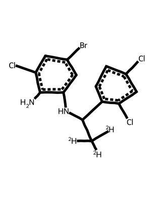 [2H]C([2H])([2H])C(Nc1cc(Br)cc(Cl)c1N)c1ccc(Cl)cc1Cl